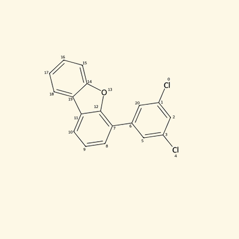 Clc1cc(Cl)cc(-c2cccc3c2oc2ccccc23)c1